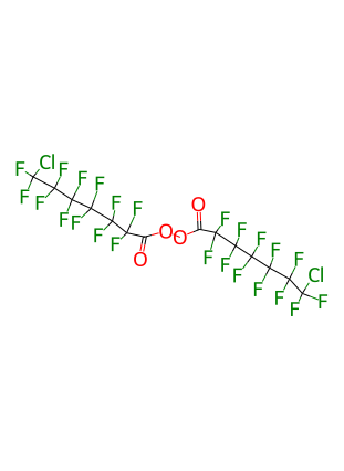 O=C(OOC(=O)C(F)(F)C(F)(F)C(F)(F)C(F)(F)C(F)(F)C(F)(F)Cl)C(F)(F)C(F)(F)C(F)(F)C(F)(F)C(F)(F)C(F)(F)Cl